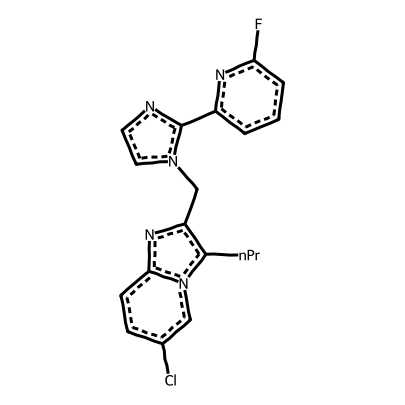 CCCc1c(Cn2ccnc2-c2cccc(F)n2)nc2ccc(Cl)cn12